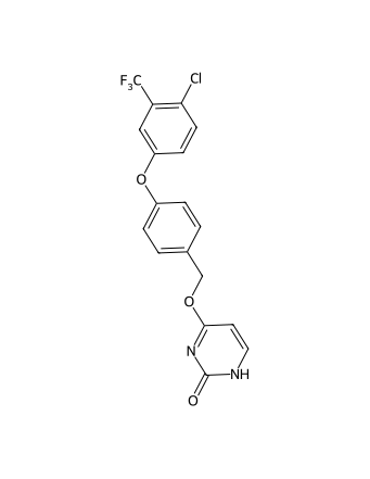 O=c1nc(OCc2ccc(Oc3ccc(Cl)c(C(F)(F)F)c3)cc2)cc[nH]1